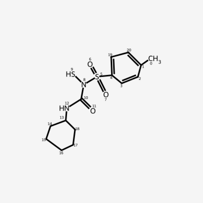 Cc1ccc(S(=O)(=O)N(S)C(=O)NC2CCCCC2)cc1